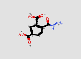 NNC(=O)c1ccc(C(=O)O)cc1C(=O)O